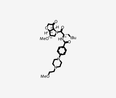 COCCN1CCN(c2ccc(C(=O)N[C@@H](CC(C)(C)C)C(=O)N3C[C@H](OC)[C@H]4OCC(=O)[C@H]43)cc2)CC1